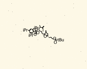 C=C(I)C(C)CC(CC[C@@H]1O[C@@H](CCCOC(=O)C(C)(C)C)CC1=C)OS(=O)(=O)c1c(C(C)C)cc(C(C)C)cc1C(C)C